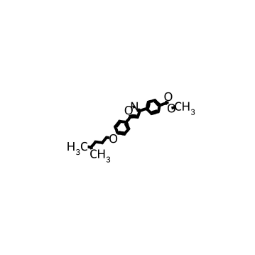 COC(=O)c1ccc(-c2cc(-c3ccc(OCCCC(C)C)cc3)on2)cc1